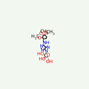 COc1ccc(CNc2ncnc3c2ncn3[C@@H]2O[C@H](CO)[C@@H](O)[C@@H]2O)c(OC)c1OC